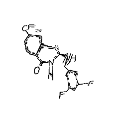 O=c1[nH]c(Nc2cc(F)cc(F)c2)nc2cc(C(F)(F)F)ccc12